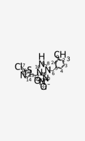 Cc1cccc(CN2CNCN(Cc3cnc(Cl)s3)C2=N[N+](=O)[O-])c1